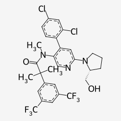 CN(C(=O)C(C)(C)c1cc(C(F)(F)F)cc(C(F)(F)F)c1)c1cnc(N2CCC[C@@H]2CO)cc1-c1ccc(Cl)cc1Cl